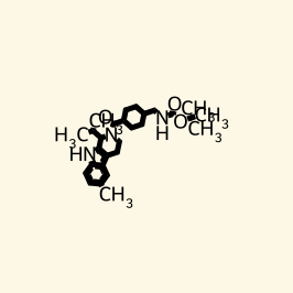 Cc1ccc2[nH]c3c(c2c1)CCN(C(=O)C1CCC(CNC(=O)OC(C)(C)C)CC1)C3C(C)C